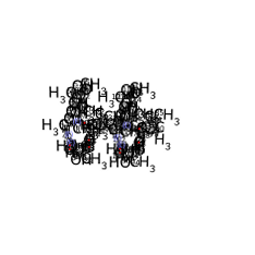 CC[C@H]1C[C@H](O[C@@H]2/C(C)=C/C[C@@H]3C[C@@H](C[C@]4(C=C[C@H](C)[C@@H](C(C)C)O4)O3)OC(=O)[C@@H]3C=C(C)[C@@H](O)[C@H]4OC/C(=C\C=C\[C@@H]2C)[C@]43O)O[C@@H](C)[C@@H]1O[C@H]1C[C@H](OC)[C@@H](O)[C@H](C)O1.CC[C@H]1C[C@H](O[C@@H]2/C(C)=C/C[C@@H]3C[C@@H](C[C@]4(C=C[C@H](C)[C@@H]([C@@H](C)CC)O4)O3)OC(=O)[C@@H]3C=C(C)[C@@H](O)[C@H]4OC/C(=C\C=C\[C@@H]2C)[C@]43O)O[C@@H](C)[C@@H]1O[C@H]1C[C@H](OC)[C@@H](O)[C@H](C)O1